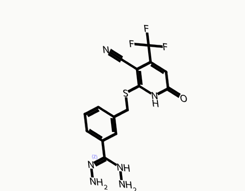 N#Cc1c(C(F)(F)F)cc(=O)[nH]c1SCc1cccc(/C(=N/N)NN)c1